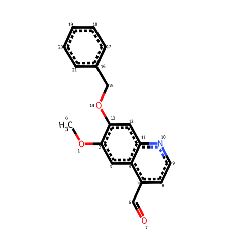 COc1cc2c(C=O)ccnc2cc1OCc1ccccc1